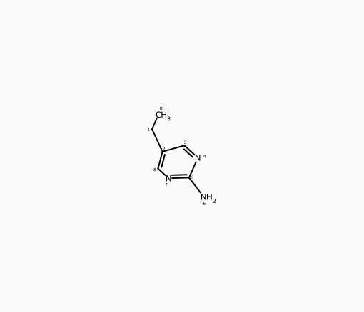 CCc1cnc(N)nc1